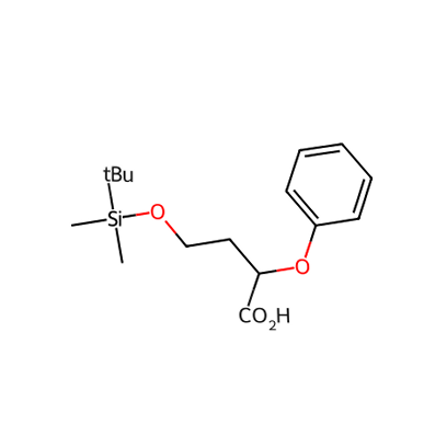 CC(C)(C)[Si](C)(C)OCCC(Oc1ccccc1)C(=O)O